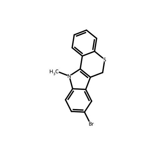 Cn1c2c(c3cc(Br)ccc31)CSc1ccccc1-2